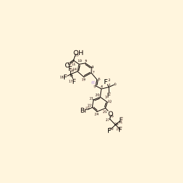 CC(F)(F)C(/C=C/c1ccc(C(=O)O)c(C(F)(F)F)c1)c1cc(Br)cc(OCC(F)(F)F)c1